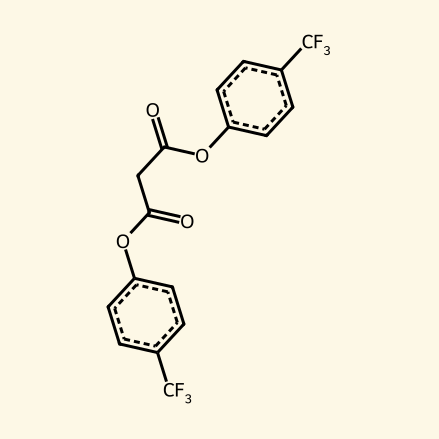 O=C(CC(=O)Oc1ccc(C(F)(F)F)cc1)Oc1ccc(C(F)(F)F)cc1